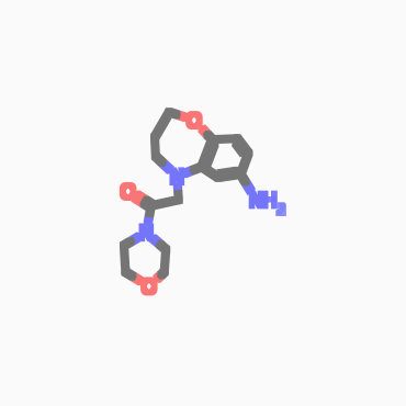 Nc1ccc2c(c1)N(CC(=O)N1CCOCC1)CCCO2